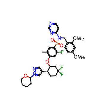 COc1ccc(CN(c2ccncn2)S(=O)(=O)c2cc(C)c(O[C@H]3CC(F)(F)CC[C@@H]3c3cnn(C4CCCCO4)c3)cc2F)c(OC)c1